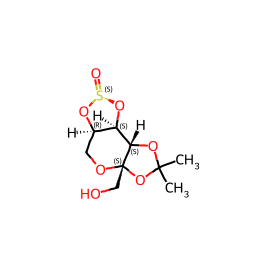 CC1(C)O[C@H]2[C@@H]3O[S@](=O)O[C@@H]3CO[C@@]2(CO)O1